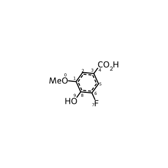 COc1cc(C(=O)O)cc(F)c1O